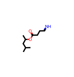 CC(C)CC(C)OC(=O)CCC=N